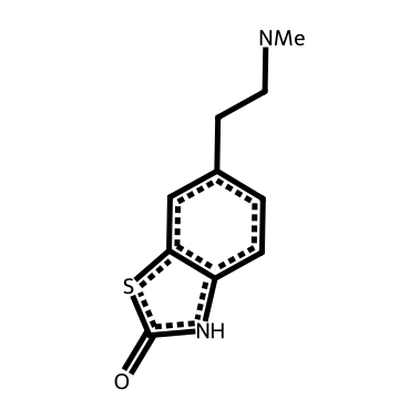 CNCCc1ccc2[nH]c(=O)sc2c1